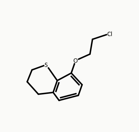 ClCCOc1cccc2c1SCCC2